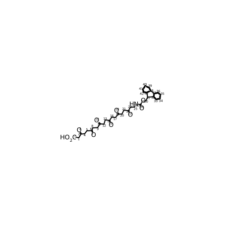 O=C(O)CC(=O)CCC(=O)CCC(=O)CCC(=O)CCC(=O)CCC(=O)CCNC(=O)OCC1c2ccccc2-c2ccccc21